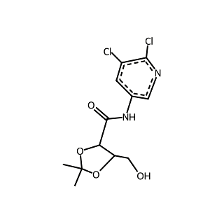 CC1(C)OC(CO)C(C(=O)Nc2cnc(Cl)c(Cl)c2)O1